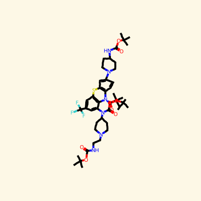 CC(C)(C)OC(=O)NCCN1CCC(N(C(=O)OC(C)(C)C)c2cc(C(F)(F)F)cc3c2N(C(=O)OC(C)(C)C)c2ccc(N4CCC(NC(=O)OC(C)(C)C)CC4)cc2S3)CC1